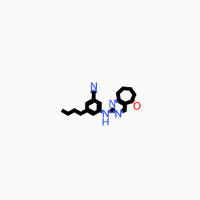 CCCCc1cc(C#N)cc(Nc2ncc3c(n2)CCCCC3=O)c1